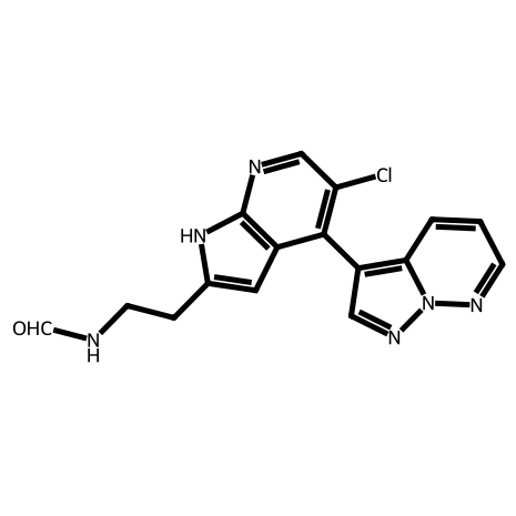 O=CNCCc1cc2c(-c3cnn4ncccc34)c(Cl)cnc2[nH]1